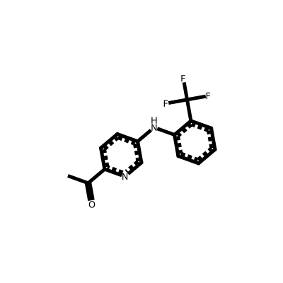 CC(=O)c1ccc(Nc2ccccc2C(F)(F)F)cn1